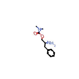 CN(C)C(=O)OCC(N)Cc1ccccc1